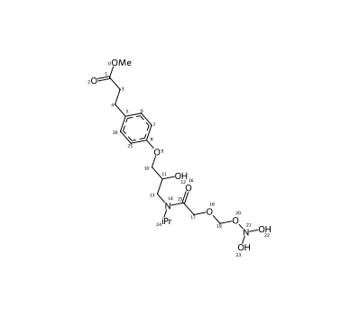 COC(=O)CCc1ccc(OCC(O)CN(C(=O)COCON(O)O)C(C)C)cc1